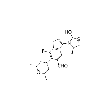 C[C@@H]1CN(c2c(C=O)cc3c(c2F)CC=C3N2C(O)SC[C@H]2C)C[C@@H](C)O1